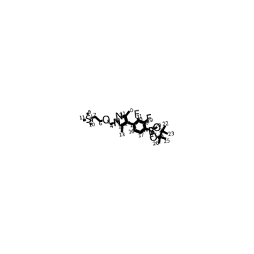 Cc1nn(COCC[Si](C)(C)C)c(C)c1-c1ccc(B2OC(C)(C)C(C)(C)O2)c(F)c1F